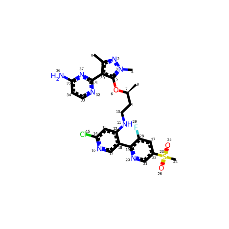 Cc1nn(C)c(O[C@@H](C)CCNc2cc(Cl)ncc2-c2ncc(S(C)(=O)=O)cc2F)c1-c1nccc(N)n1